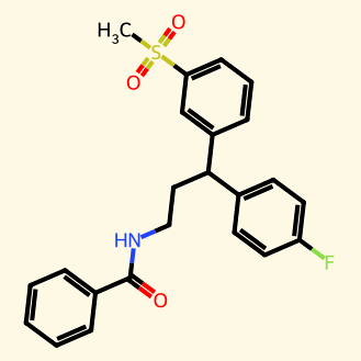 CS(=O)(=O)c1cccc(C(CCNC(=O)c2ccccc2)c2ccc(F)cc2)c1